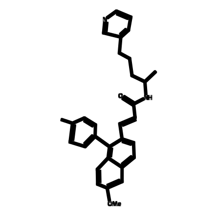 COc1ccc2c(-c3ccc(C)cc3)c(/C=C/C(=O)NC(C)CCCc3cccnc3)ccc2c1